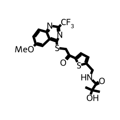 COc1ccc2nc(C(F)(F)F)nc(SCC(=O)c3ccc(CNC(=O)C(C)(C)O)s3)c2c1